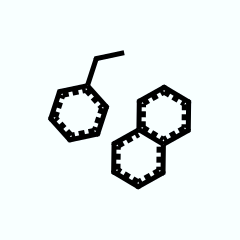 CCc1ccccc1.c1ccc2ccccc2c1